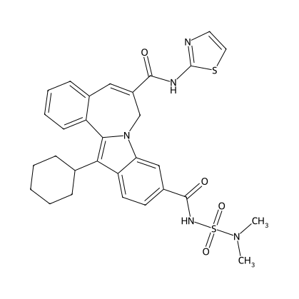 CN(C)S(=O)(=O)NC(=O)c1ccc2c(C3CCCCC3)c3n(c2c1)CC(C(=O)Nc1nccs1)=Cc1ccccc1-3